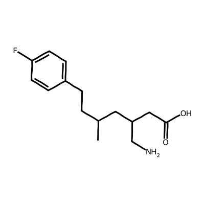 CC(CCc1ccc(F)cc1)CC(CN)CC(=O)O